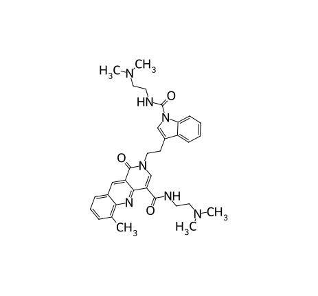 Cc1cccc2cc3c(=O)n(CCc4cn(C(=O)NCCN(C)C)c5ccccc45)cc(C(=O)NCCN(C)C)c3nc12